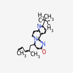 C/C=C\C=C(\C)Cc1cc(=O)nc2c3ccc(C(C)(C)C)nc3ccn12